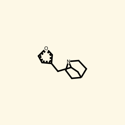 c1cc(CC2CC3CCN2CC3)co1